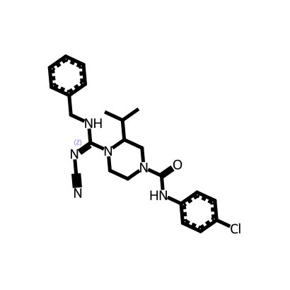 CC(C)C1CN(C(=O)Nc2ccc(Cl)cc2)CCN1/C(=N\C#N)NCc1ccccc1